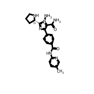 Cc1ccc(NC(=O)c2ccc(-c3nc([C@@H]4CCCN4)n(N)c3C(N)=O)cc2)nc1